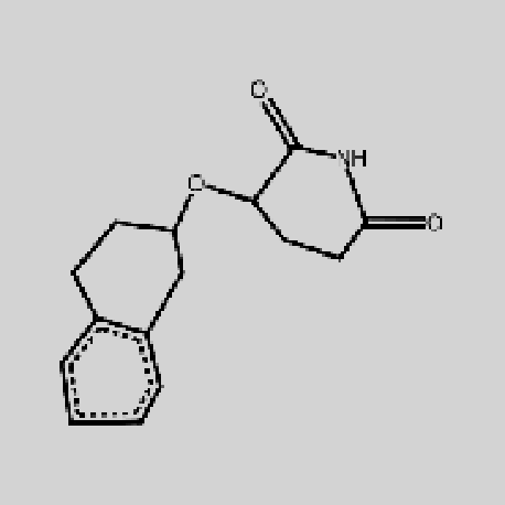 O=C1CCC(OC2CCc3ccccc3C2)C(=O)N1